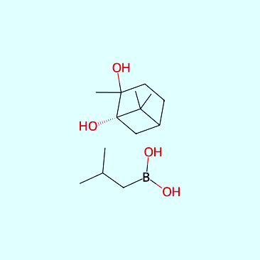 CC(C)CB(O)O.CC1(O)CCC2C[C@]1(O)C2(C)C